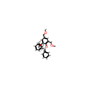 COCc1cc(COC)c(O[SiH](c2ccccc2)c2ccccc2)c(C(C)(C)C)c1